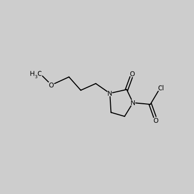 COCCCN1CCN(C(=O)Cl)C1=O